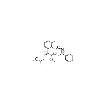 COC(=O)/C(=C\CC(C)OC)c1cccc(C)c1CO/N=C(\C)c1ccccc1